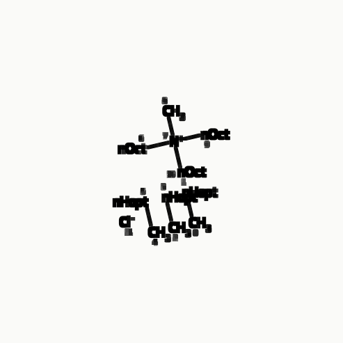 CCCCCCCC.CCCCCCCC.CCCCCCCC.CCCCCCCC[N+](C)(CCCCCCCC)CCCCCCCC.[Cl-]